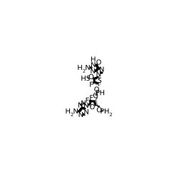 Nc1nc2c(ncn2[C@@H]2S[C@H](COPOC[C@@H]3[C@@H](COP)O[C@@H](n4nnc5c(N)ncnc54)C3(F)F)[C@H](F)[C@H]2OS)c(=O)[nH]1